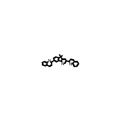 CC1(C)c2ccc(-c3ccc4ccccc4n3)cc2-c2ncc(-c3ccc4ccccc4n3)cc21